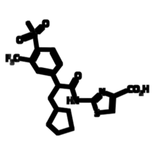 CS(=O)(=O)c1ccc(C(CC2CCCC2)C(=O)Nc2nc(C(=O)O)cs2)cc1C(F)(F)F